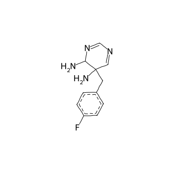 NC1N=CN=CC1(N)Cc1ccc(F)cc1